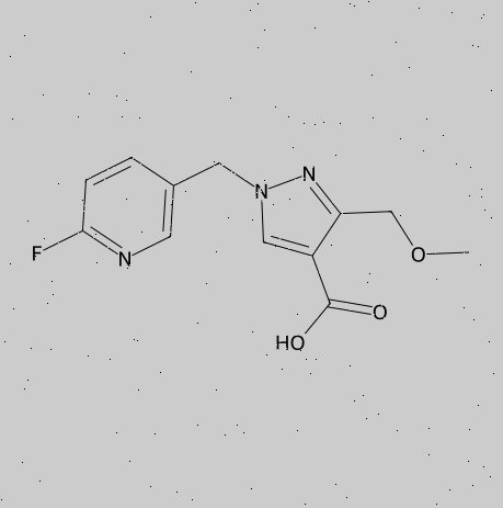 COCc1nn(Cc2ccc(F)nc2)cc1C(=O)O